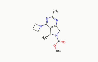 Cc1nc2c(c(N3CCC3)n1)C(C)N(C(=O)OC(C)(C)C)C2